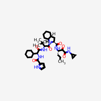 CCC[C@H](NC(=O)[C@@H]1C[C@@H]2CCCC[C@@H]2N1C(=O)[C@@H](NC(=O)[C@@H](NC(=O)c1ccc[nH]1)C1CCCCC1)C(C)(C)C)C(=O)C(=O)NC1CC1